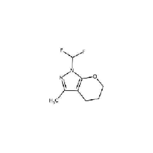 Cc1nn(C(F)F)c2c1CCCO2